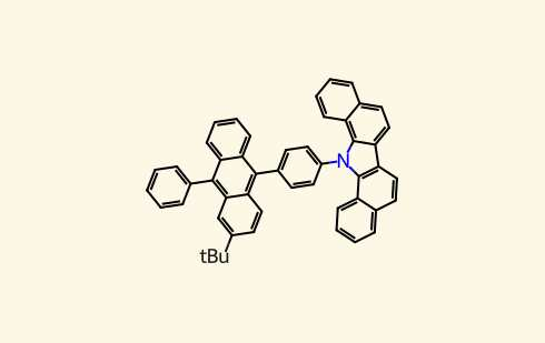 CC(C)(C)c1ccc2c(-c3ccc(-n4c5c6ccccc6ccc5c5ccc6ccccc6c54)cc3)c3ccccc3c(-c3ccccc3)c2c1